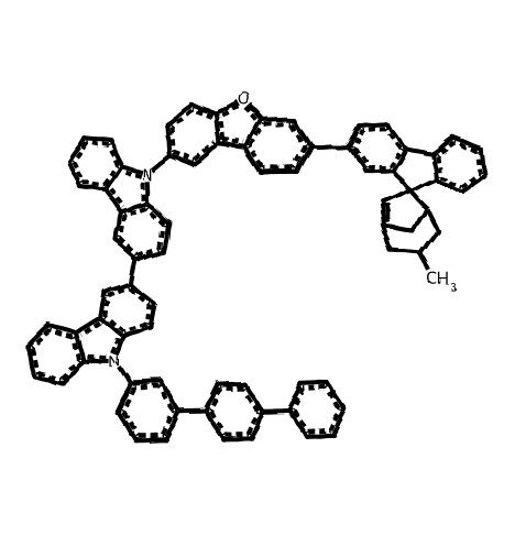 CC1CC2=CC3(c4ccccc4-c4ccc(-c5ccc6c(c5)oc5ccc(-n7c8ccccc8c8cc(-c9ccc%10c(c9)c9ccccc9n%10-c9cccc(-c%10ccc(-c%11ccccc%11)cc%10)c9)ccc87)cc56)cc43)C(C2)C1